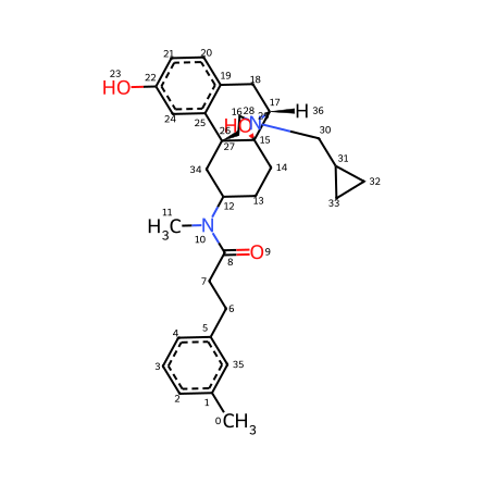 Cc1cccc(CCC(=O)N(C)C2CC[C@@]3(O)[C@H]4Cc5ccc(O)cc5[C@@]3(CCN4CC3CC3)C2)c1